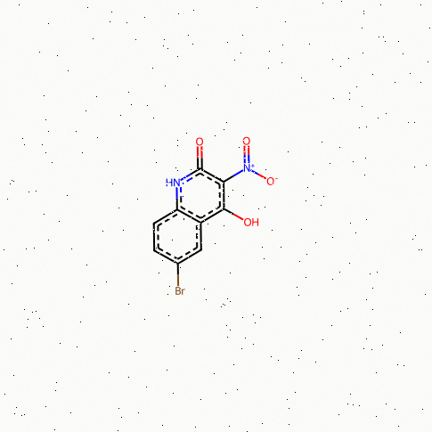 O=c1[nH]c2ccc(Br)cc2c(O)c1[N+](=O)[O-]